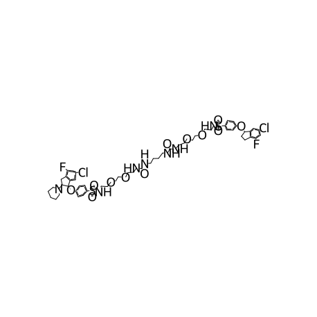 O=C(NCCCCNC(=O)NCCOCCOCCNS(=O)(=O)c1ccc(O[C@H]2c3cc(Cl)cc(F)c3C[C@@H]2N2CCCCC2)cc1)NCCOCCOCCNS(=O)(=O)c1ccc(O[C@@H]2CCc3c(F)cc(Cl)cc32)cc1